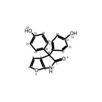 O=C1Nc2occc2C1(c1ccc(O)cc1)c1ccc(O)cc1